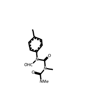 CNC(=O)N(C)C(=O)N(C=O)c1ccc(C)cc1